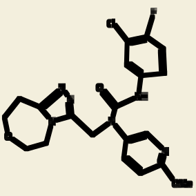 COc1ccc(N(Cc2nnc3n2CCOCC3)C(=O)Nc2ccc(F)c(Cl)c2)cn1